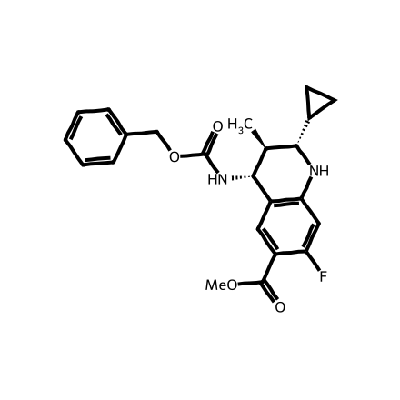 COC(=O)c1cc2c(cc1F)N[C@@H](C1CC1)[C@H](C)[C@H]2NC(=O)OCc1ccccc1